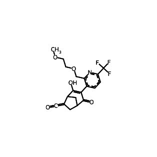 COCCOCc1nc(C(F)(F)F)ccc1C1=C(O)C2CC(CC2=C=O)C1=O